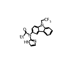 CCC(=O)N(c1ccc2c(c1)c1ccccc1n2CC(F)(F)F)c1ncc[nH]1